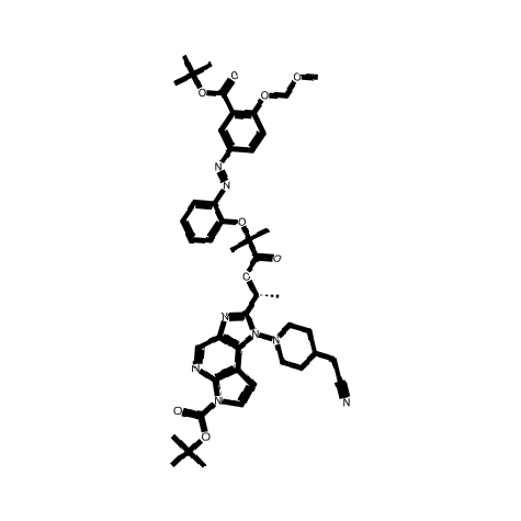 COCOc1ccc(/N=N/c2ccccc2OC(C)(C)C(=O)O[C@H](C)c2nc3cnc4c(ccn4C(=O)OC(C)(C)C)c3n2N2CCC(CC#N)CC2)cc1C(=O)OC(C)(C)C